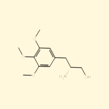 COc1cc(C[C@@H](N)CO)cc(OC)c1OC